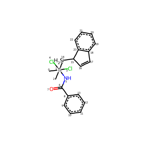 [CH3][Ti]([CH3])([Cl])([Cl])([NH]C(=O)c1ccccc1)[SiH2]C1C=Cc2ccccc21